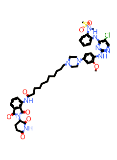 COc1cc(N2CCN(CCCCCCCCCCC(=O)Nc3cccc4c3C(=O)N(C3CCC(=O)NC3=O)C4=O)CC2)ccc1Nc1ncc(Cl)c(Nc2ccccc2N(C)S(C)(=O)=O)n1